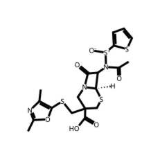 CC(=O)N(C1C(=O)N2CC(CSc3oc(C)nc3C)(C(=O)O)CS[C@H]12)[S+]([O-])c1cccs1